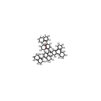 c1ccc(-c2cccc3cccc(-c4ccc(N(c5ccc6c7ccccc7c7ccccc7c6c5)c5ccc(-c6cccc7ccccc67)c6ccccc56)cc4)c23)cc1